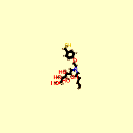 CCCCCCN(CCOc1ccc(CS)cc1)C[C@H](O)[C@@H](O)[C@H](O)[C@H](O)CO